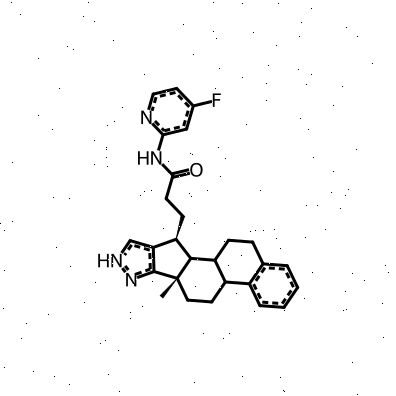 C[C@]12CCC3c4ccccc4CCC3C1[C@H](CCC(=O)Nc1cc(F)ccn1)c1c[nH]nc12